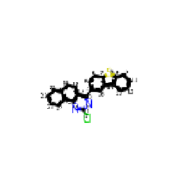 Clc1nc(-c2ccc3sc4ccccc4c3c2)c2ccc3ccccc3c2n1